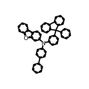 c1ccc(-c2ccc(N(c3cccc(C4(c5ccccc5)c5ccccc5-c5ccccc54)c3)c3ccc4c(c3)oc3ccccc34)cc2)cc1